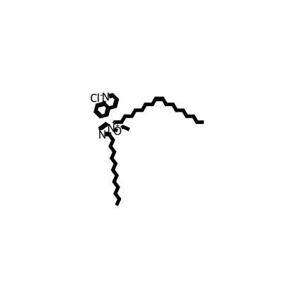 CCCCCCCC/C=C\CCCCCCCC[N+]1(OCC)C=CN=C1CCCCCCCCCCCC.[Cl-].c1ccc2ncccc2c1